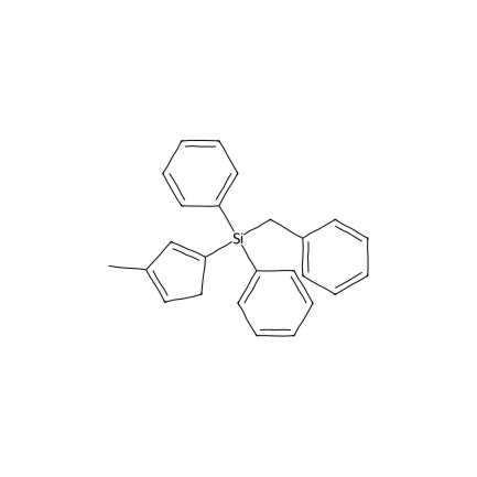 CC1=CCC([Si](Cc2ccccc2)(c2ccccc2)c2ccccc2)=C1